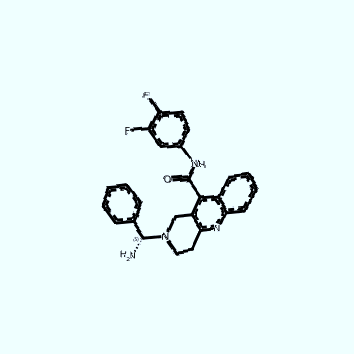 N[C@H](c1ccccc1)N1CCc2nc3ccccc3c(C(=O)Nc3ccc(F)c(F)c3)c2C1